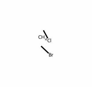 C.CBr.CCl